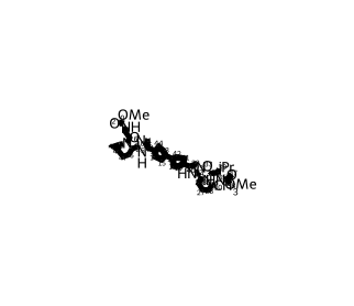 COC(=O)NCC(=O)N1C(c2ncc(-c3ccc(-c4ccc(-c5cnc([C@@H]6CCCC(C)N6C(=O)C(NC(=O)OC)C(C)C)[nH]5)cc4)cc3)[nH]2)CCC2CC21